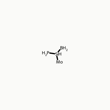 B[SiH](P)[Mo]